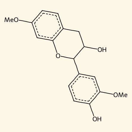 COc1ccc2c(c1)OC(c1ccc(O)c(OC)c1)C(O)C2